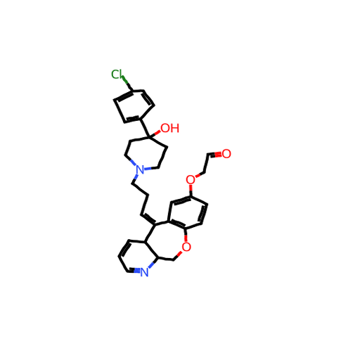 O=CCOc1ccc2c(c1)C(=CCCN1CCC(O)(c3ccc(Cl)cc3)CC1)C1C=CC=NC1CO2